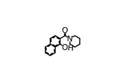 O=C(c1ccc2ccccc2c1O)N1CCCCC1